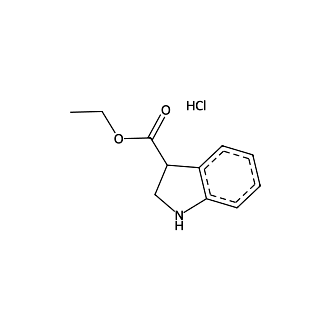 CCOC(=O)C1CNc2ccccc21.Cl